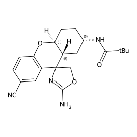 CC(C)(C)C(=O)N[C@H]1CC[C@@H]2Oc3ccc(C#N)cc3C3(COC(N)=N3)[C@H]2C1